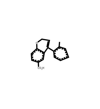 Cc1ccccc1C1=CCOc2ccc(C(=O)O)cc21